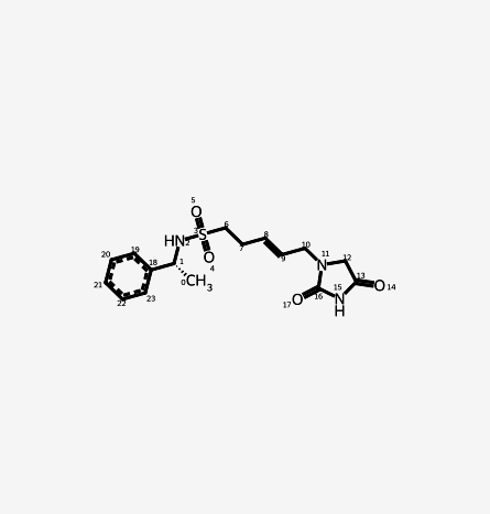 C[C@@H](NS(=O)(=O)CC/C=C/CN1CC(=O)NC1=O)c1ccccc1